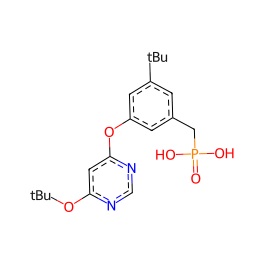 CC(C)(C)Oc1cc(Oc2cc(CP(=O)(O)O)cc(C(C)(C)C)c2)ncn1